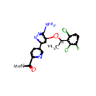 CNC(=O)c1ccc(-c2cc(O[C@H](C)c3c(Cl)ccc(F)c3Cl)c(N)nn2)cn1